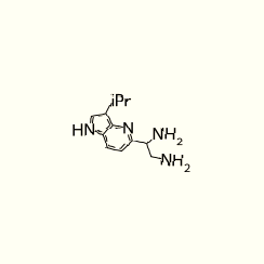 CC(C)c1c[nH]c2ccc(C(N)CN)nc12